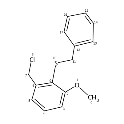 COc1cccc(CCl)c1SCc1ccccc1